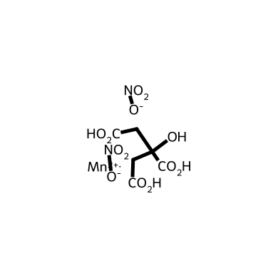 O=C(O)CC(O)(CC(=O)O)C(=O)O.O=[N+]([O-])[O-].O=[N+]([O-])[O-].[Mn+2]